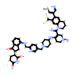 CN/C=C(\C=N)c1cc2c(cc1C(F)F)N(C(=N)C1=C(NC3CCN(Cc4ccc(CNc5cccc6c5C[C@@H](C5CCC(=O)NC5=O)C6=O)nc4)CC3)CCN(C(C)=O)C1)CCC2